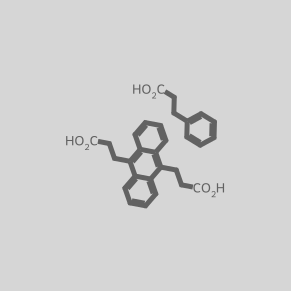 O=C(O)CCc1c2ccccc2c(CCC(=O)O)c2ccccc12.O=C(O)CCc1ccccc1